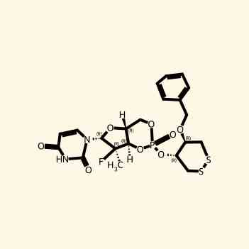 C[C@@]1(F)[C@@H]2OP(=O)(O[C@H]3CSSC[C@@H]3OCc3ccccc3)OC[C@H]2O[C@H]1n1ccc(=O)[nH]c1=O